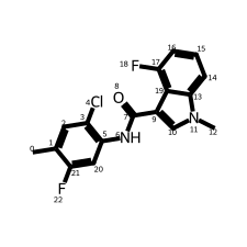 Cc1cc(Cl)c(NC(=O)c2cn(C)c3cccc(F)c23)cc1F